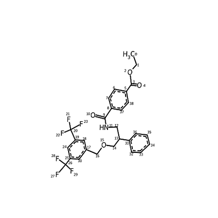 CCOC(=O)c1ccc(C(=O)NCC(COCc2cc(C(F)(F)F)cc(C(F)(F)F)c2)c2ccccc2)cc1